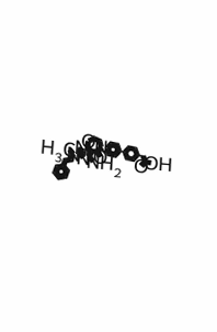 CN(CCc1ccccc1)c1nc(N)c2c(n1)OCCN(c1ccc([C@H]3CC[C@H](CC(=O)O)CC3)cc1)C2=O